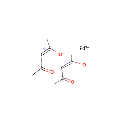 CC(=O)/C=C(/C)[O-].CC(=O)/C=C(/C)[O-].[Pd+2]